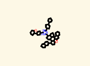 c1ccc(-c2ccc(C3=NC(c4ccc5c(c4)oc4ccccc45)NC(c4ccc(-c5c(-c6ccc7ccccc7c6)ccc6oc7cc8ccccc8cc7c56)c5ccccc45)=N3)cc2)cc1